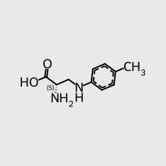 Cc1ccc(NC[C@H](N)C(=O)O)cc1